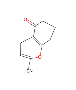 N#CC1=CCC2=C(CCCC2=O)O1